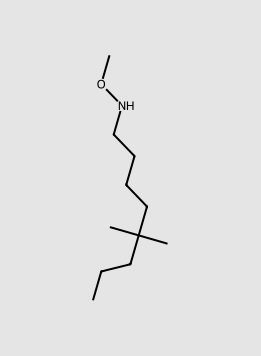 CCCC(C)(C)CCCCNOC